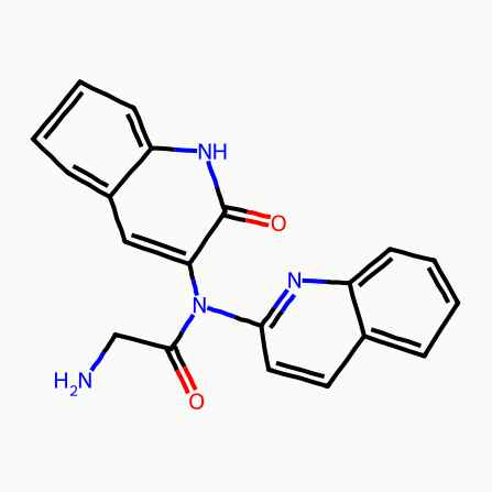 NCC(=O)N(c1ccc2ccccc2n1)c1cc2ccccc2[nH]c1=O